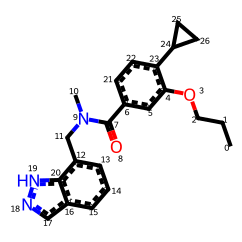 CCCOc1cc(C(=O)N(C)Cc2cccc3cn[nH]c23)ccc1C1CC1